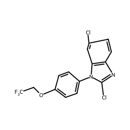 FC(F)(F)COc1ccc(-n2c(Cl)nc3ccc(Cl)cc32)cc1